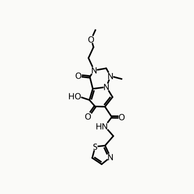 COCCN1CN(C)n2cc(C(=O)NCc3nccs3)c(=O)c(O)c2C1=O